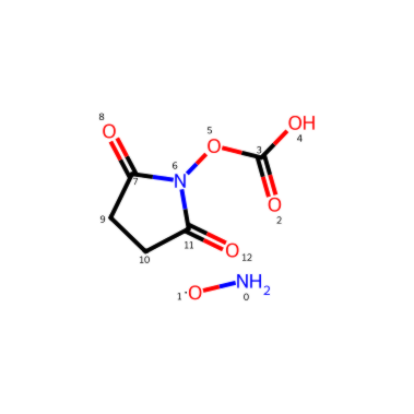 N[O].O=C(O)ON1C(=O)CCC1=O